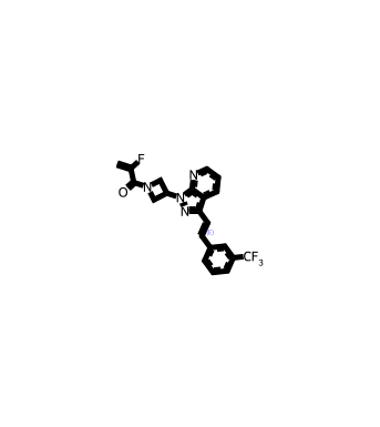 C=C(F)C(=O)N1CC(n2nc(/C=C/c3cccc(C(F)(F)F)c3)c3cccnc32)C1